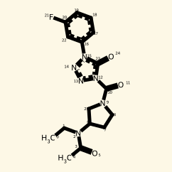 CCN(C(C)=O)C1CCN(C(=O)n2nnn(-c3cccc(F)c3)c2=O)C1